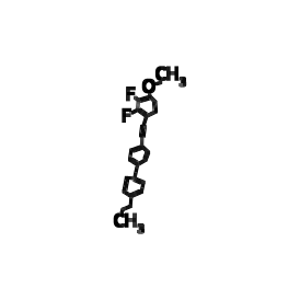 CCCc1ccc(-c2ccc(C#Cc3ccc(OCC)c(F)c3F)cc2)cc1